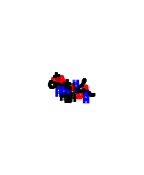 C#CCCC(NC(=O)[C@@H]1[C@@H]2[C@H](CN1C(=O)[C@@H](NC(=O)NC1(CS(=O)(=O)C(C)(C)C)CCCCC1)C(C)(C)C)C21CC1)C(=O)C(=O)NCC=C